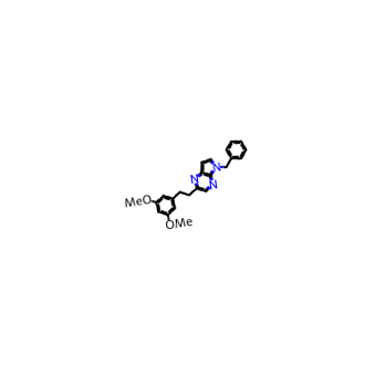 COc1cc(CCc2cnc3c(ccn3Cc3ccccc3)n2)cc(OC)c1